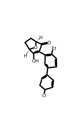 CCc1ccc(C2=CCC(Cl)C=C2)cc1C1=C(O)[C@H]2CC[C@H](O2)C1=O